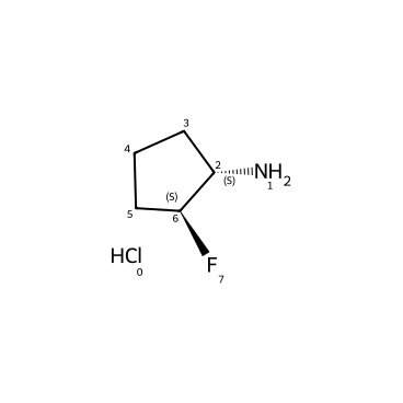 Cl.N[C@H]1CCC[C@@H]1F